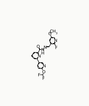 COc1cnc(F)c(/C=N/NC(=O)c2cccc(-c3ccc(OC(F)F)nc3)n2)c1